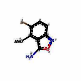 COc1c(Br)ccc2noc(N)c12